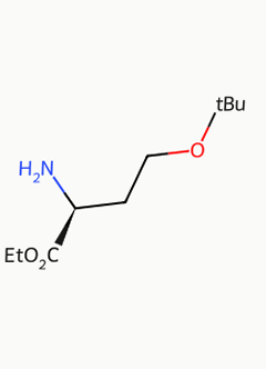 CCOC(=O)[C@@H](N)CCOC(C)(C)C